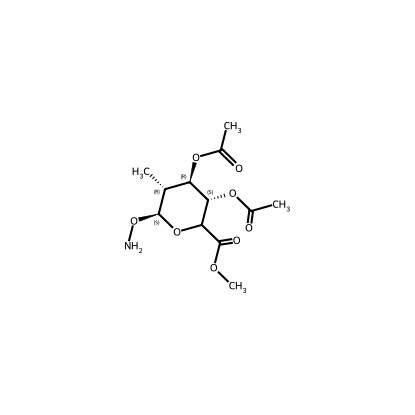 COC(=O)C1O[C@@H](ON)[C@H](C)[C@@H](OC(C)=O)[C@@H]1OC(C)=O